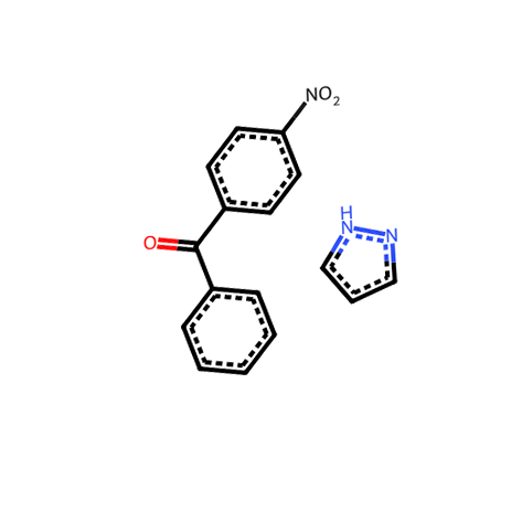 O=C(c1ccccc1)c1ccc([N+](=O)[O-])cc1.c1cn[nH]c1